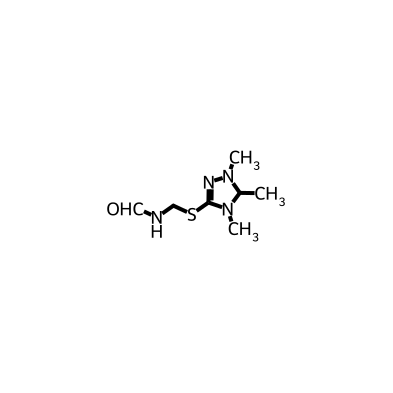 CC1N(C)N=C(SCNC=O)N1C